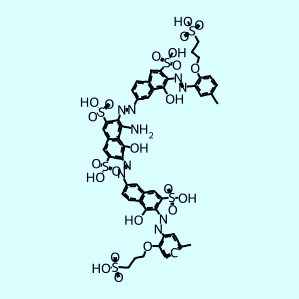 Cc1ccc(OCCCS(=O)(=O)O)c(N=Nc2c(S(=O)(=O)O)cc3cc(N=Nc4c(S(=O)(=O)O)cc5cc(S(=O)(=O)O)c(N=Nc6ccc7cc(S(=O)(=O)O)c(N=Nc8cc(C)ccc8OCCCS(=O)(=O)O)c(O)c7c6)c(N)c5c4O)ccc3c2O)c1